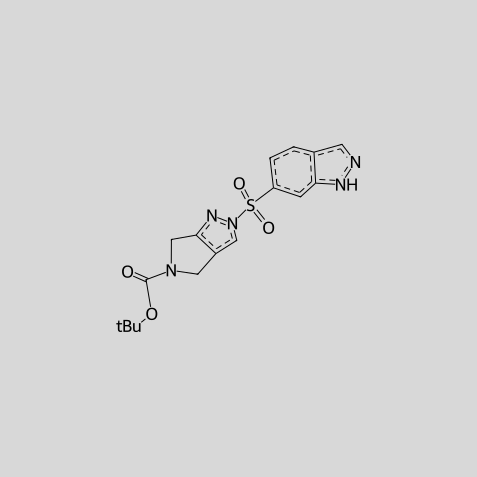 CC(C)(C)OC(=O)N1Cc2cn(S(=O)(=O)c3ccc4cn[nH]c4c3)nc2C1